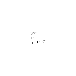 [F-].[F-].[F-].[K+].[Sr+2]